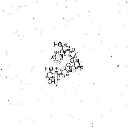 Cc1ccc(O)c(C(=O)N[C@H]2CC[C@H](NC(=O)c3cc(F)cnc3Oc3cccc(-c4ccc(O)cc4CN4CCCOCC4)c3)CC2)c1